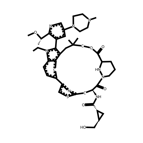 CCn1c(-c2cc(N3CCN(C)CC3)cnc2[C@H](C)OC)c2c3cc(ccc31)-c1csc(n1)C[C@H](NC(=O)[C@@H]1C[C@H]1CO)C(=O)N1CCC[C@@](C)(N1)C(=O)OCC(C)(C)C2